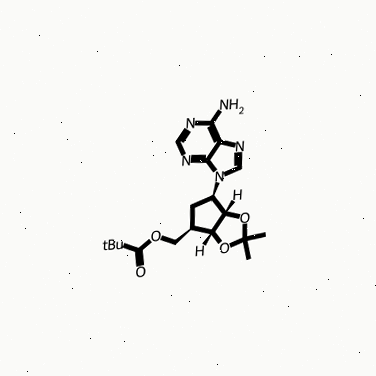 CC1(C)O[C@@H]2[C@@H](COC(=O)C(C)(C)C)C[C@@H](n3cnc4c(N)ncnc43)[C@@H]2O1